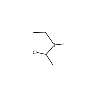 CCI(C)C(C)Cl